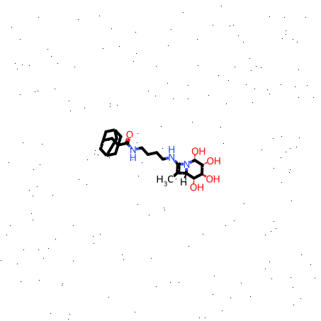 CC1=C(NCCCCNC(=O)C23CC4CC(CC(C4)C2)C3)N2[C@H](O)[C@H](O)[C@@H](O)[C@H](O)[C@H]12